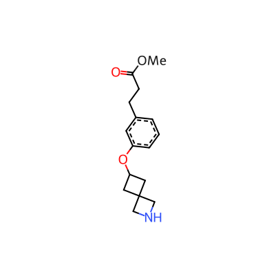 COC(=O)CCc1cccc(OC2CC3(CNC3)C2)c1